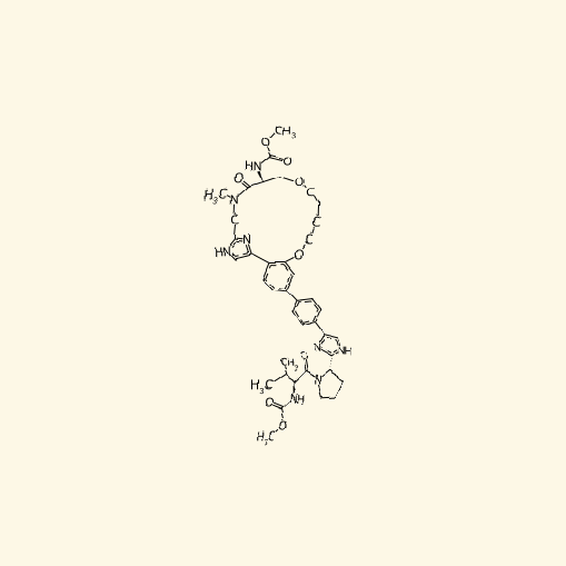 COC(=O)N[C@H]1COCCCCOc2cc(-c3ccc(-c4c[nH]c([C@@H]5CCCN5C(=O)[C@@H](NC(=O)OC)C(C)C)n4)cc3)ccc2-c2c[nH]c(n2)CN(C)C1=O